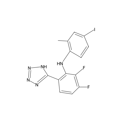 Cc1cc(I)ccc1Nc1c(-c2nnn[nH]2)ccc(F)c1F